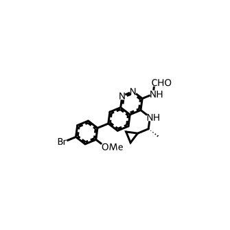 COc1cc(Br)ccc1-c1ccc2c(N[C@H](C)C3CC3)c(NC=O)nnc2c1